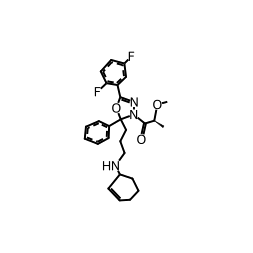 CO[C@@H](C)C(=O)N1N=C(c2cc(F)ccc2F)OC1(CCCNC1C=CCCC1)c1ccccc1